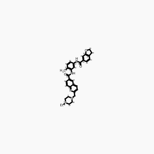 CCN1CCN(Cc2ccc3cc(C(=O)Nc4cc(NC(=O)c5ccc6c(c5)OCC6)ccc4C)ccc3n2)CC1